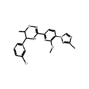 COc1nc(C2=NOC(C)C(c3cccc(Cl)c3)N2)ccc1-n1cnc(C)n1